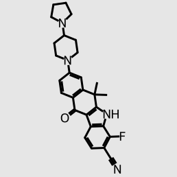 CC1(C)c2cc(N3CCC(N4CCCC4)CC3)ccc2C(=O)c2c1[nH]c1c(F)c(C#N)ccc21